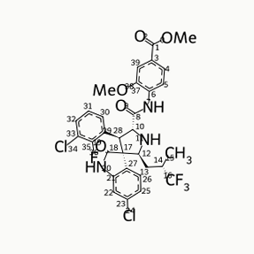 COC(=O)c1ccc(NC(=O)[C@@H]2N[C@@H](C[C@H](C)C(F)(F)F)[C@@]3(C(=O)Nc4cc(Cl)ccc43)[C@H]2c2cccc(Cl)c2F)c(OC)c1